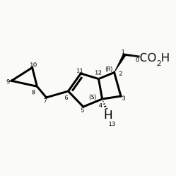 O=C(O)C[C@H]1C[C@H]2CC(CC3CC3)=CC21